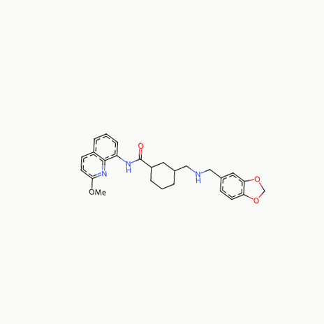 COc1ccc2cccc(NC(=O)C3CCCC(CNCc4ccc5c(c4)OCO5)C3)c2n1